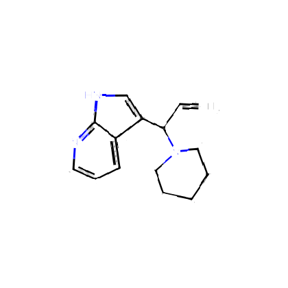 C=CC(c1c[nH]c2ncccc12)N1CCCCC1